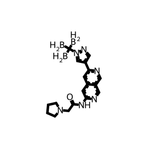 BC(B)(B)n1cc(-c2cc3cc(NC(=O)CN4CCCC4)ncc3cn2)cn1